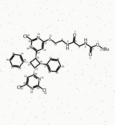 CC(C)(C)OC(=O)NCC(=O)NCCSc1cc([C@H]2[C@@H](c3ccccc3)[C@H](c3cc(Cl)nc(Cl)n3)[C@@H]2c2ccccc2)nc(Cl)n1